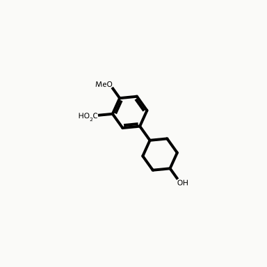 COc1ccc(C2CCC(O)CC2)cc1C(=O)O